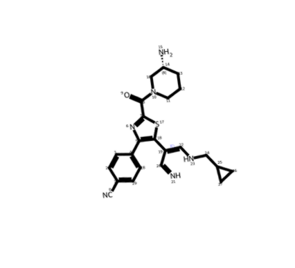 N#Cc1ccc(-c2nc(C(=O)N3CCC[C@@H](N)C3)sc2/C(C=N)=C/NCC2CC2)cc1